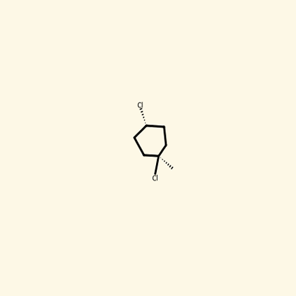 C[C@]1(Cl)CC[C@H](Cl)CC1